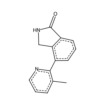 Cc1cccnc1-c1cccc2c1CNC2=O